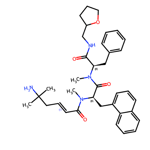 CN(C(=O)/C=C/CC(C)(C)N)[C@H](Cc1cccc2ccccc12)C(=O)N(C)[C@H](Cc1ccccc1)C(=O)NCC1CCCO1